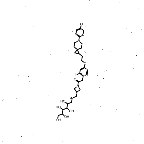 O=C(Cc1ccc(OCCC2CC23CCN(c2ncc(Cl)cn2)CC3)cc1F)N1CC(CNCC(O)C(O)C(O)C(O)CO)C1